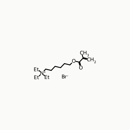 C=C(C)C(=O)OCCCCCC[N+](CC)(CC)CC.[Br-]